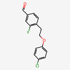 O=Cc1ccc(CCOc2ccc(Cl)cc2)c(F)c1